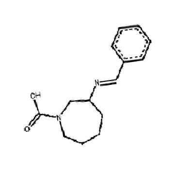 O=C(O)N1CCCCC(N=Cc2ccccc2)C1